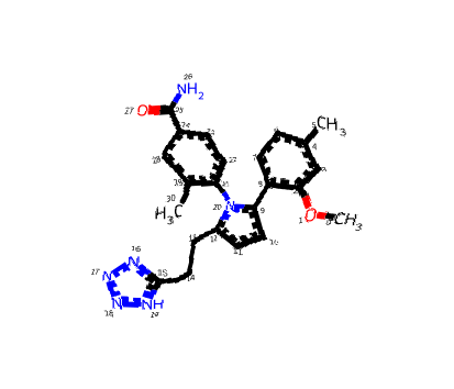 COc1cc(C)ccc1-c1ccc(CCc2nnn[nH]2)n1-c1ccc(C(N)=O)cc1C